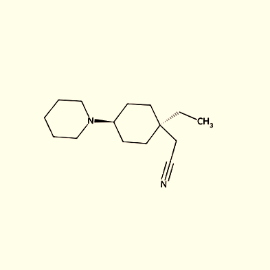 CC[C@]1(CC#N)CC[C@@H](N2CCCCC2)CC1